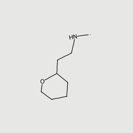 [CH2]NCCC1CCCCO1